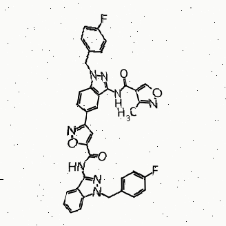 Cc1nocc1C(=O)Nc1nn(Cc2ccc(F)cc2)c2ccc(-c3cc(C(=O)Nc4nn(Cc5ccc(F)cc5)c5ccccc45)on3)cc12